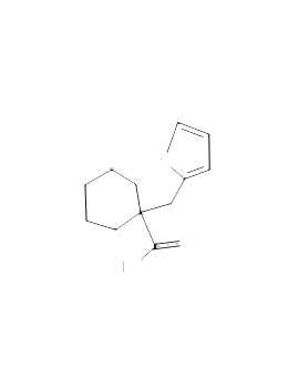 O=C(O)C1(Cc2cccs2)CCCCC1